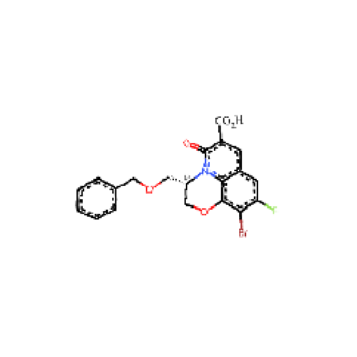 O=C(O)c1cc2cc(F)c(Br)c3c2n(c1=O)[C@@H](COCc1ccccc1)CO3